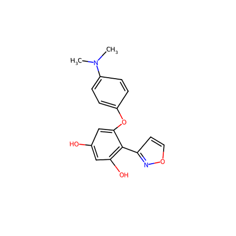 CN(C)c1ccc(Oc2cc(O)cc(O)c2-c2ccon2)cc1